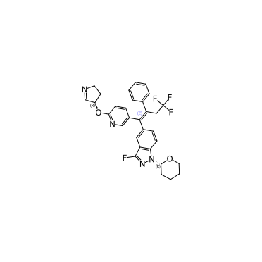 Fc1nn([C@H]2CCCCO2)c2ccc(/C(=C(\CC(F)(F)F)c3ccccc3)c3ccc(O[C@H]4C=NCC4)nc3)cc12